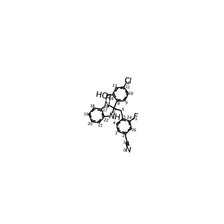 N#Cc1ccc(CC2(c3ccc(Cl)cc3O)Nc3ccccc3N2)c(F)c1